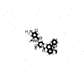 CCNC(=O)[C@]1(c2ccccc2)CC[C@@H](C(=O)N2CC[C@@H](NC(=O)c3cc(Cl)c(N)cc3OC)[C@@H](OC)C2)c2ccccc21